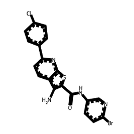 Nc1c(C(=O)Nc2ccc(Br)nc2)sc2nc(-c3ccc(Cl)cc3)ccc12